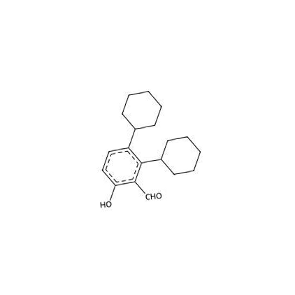 O=Cc1c(O)ccc(C2CCCCC2)c1C1CCCCC1